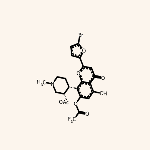 CC(=O)O[C@@H]1CN(C)CC[C@@H]1c1c(OC(=O)C(F)(F)F)cc(O)c2c(=O)cc(-c3ccc(Br)o3)oc12